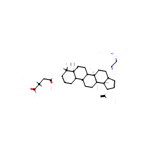 C=C(C)[C@@H]1CC[C@]2(NCCN(C)C)CC[C@]3(C)[C@H](CC[C@@H]4[C@@]5(C)CC[C@H](OC(=O)CC(C)(C)C(=O)O)C(C)(C)[C@@H]5CC[C@]43C)[C@@H]12